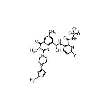 Cc1cc([C@@H](C)Nc2ccc(Cl)nc2C(=O)NS(C)(=O)=O)c2nc(N3CCN(c4ccn(C)n4)CC3)n(C)c(=O)c2c1